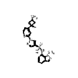 CC1CC(F)(c2ccnc(-n3cc(S(=O)(=O)Nc4cccc5cnn(C)c45)cn3)c2)C1